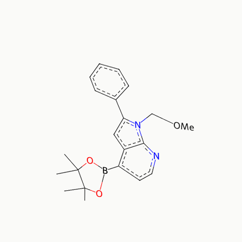 COCn1c(-c2ccccc2)cc2c(B3OC(C)(C)C(C)(C)O3)ccnc21